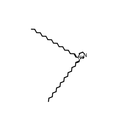 CCCCCCCCCCCCCCCC=C[N+]1(C=CCCCCCCCCCCCCCCC)C=NCC1